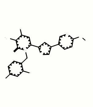 CCOc1ccc(-c2coc(-c3cc(C(F)(F)F)c(C#N)c(=O)n3Cc3ccc(F)cc3F)c2)cn1